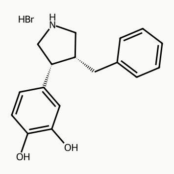 Br.Oc1ccc([C@@H]2CNC[C@@H]2Cc2ccccc2)cc1O